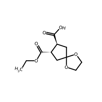 CCOC(=O)[C@H]1CC2(C[C@@H]1C(=O)O)OCCO2